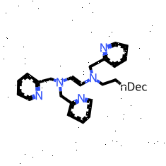 CCCCCCCCCCCCN(C=CN(Cc1ccccn1)Cc1ccccn1)Cc1ccccn1